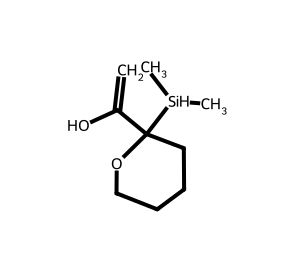 C=C(O)C1([SiH](C)C)CCCCO1